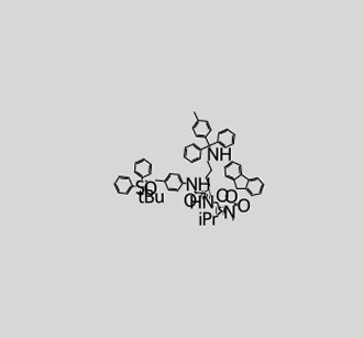 Cc1ccc(C(NCCCC[C@H](NC(=O)[C@H](C(C)C)N(C)C(=O)OC2c3ccccc3-c3ccccc32)C(=O)Nc2ccc(CO[Si](c3ccccc3)(c3ccccc3)C(C)(C)C)cc2)(c2ccccc2)c2ccccc2)cc1